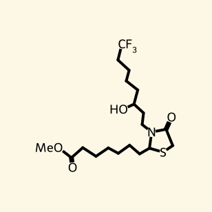 COC(=O)CCCCCCC1SCC(=O)N1CCC(O)CCCCC(F)(F)F